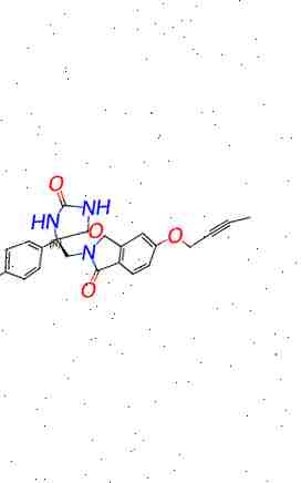 CC#CCOc1ccc2c(c1)CN(C[C@@]1(c3ccc(F)cc3)NC(=O)NC1=O)C2=O